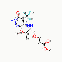 COC(=O)CCOC[C@@H](Nc1cn[nH]c(=O)c1C(F)(F)F)[C@@H](C)OC